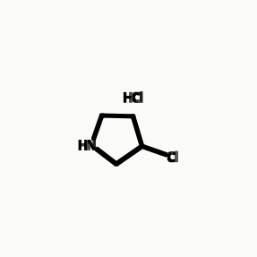 Cl.ClC1CCNC1